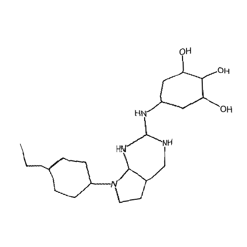 CCC1CCC(N2CCC3CNC(NC4CC(O)C(O)C(O)C4)NC32)CC1